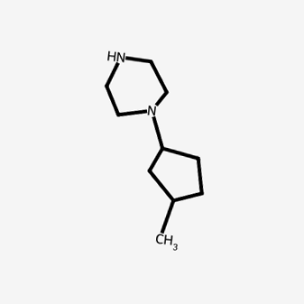 CC1CCC(N2CCNCC2)C1